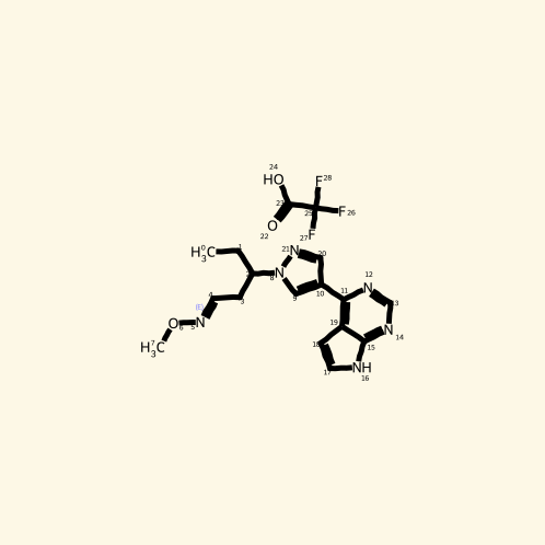 CCC(C/C=N/OC)n1cc(-c2ncnc3[nH]ccc23)cn1.O=C(O)C(F)(F)F